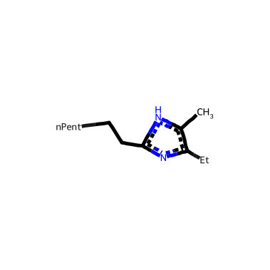 CCCCCCCc1nc(CC)c(C)[nH]1